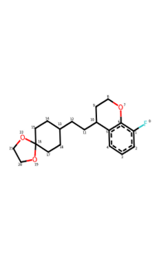 Fc1cccc2c1OCCC2CCC1CCC2(CC1)OCCO2